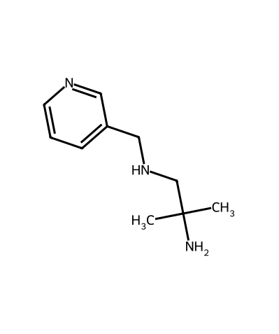 CC(C)(N)CNCc1cccnc1